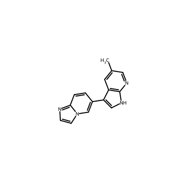 Cc1cnc2[nH]cc(-c3ccc4nccn4c3)c2c1